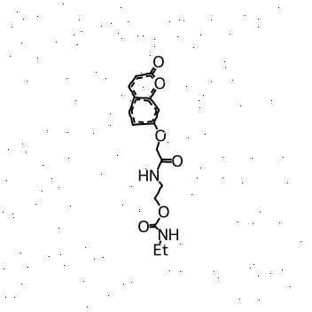 CCNC(=O)OCCNC(=O)COc1ccc2ccc(=O)oc2c1